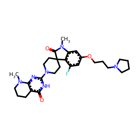 CN1CCCc2c1nc(N1CCC3(CC1)C(=O)N(C)c1cc(OCCCN4CCCC4)cc(F)c13)[nH]c2=O